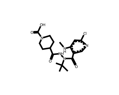 CNc1cc(Cl)ncc1C(=O)N(NC(=O)C1CCN(C(=O)O)CC1)C(C)(C)C